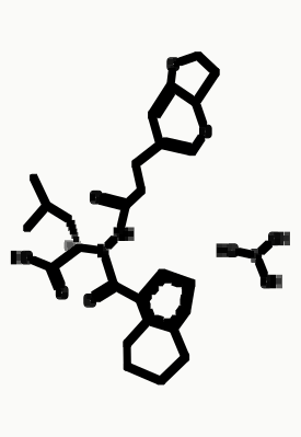 CC(C)C[C@@H](C(=O)O)N(NC(=O)CCC1=COC2CCOC2=C1)C(=O)c1cccc2c1CCCC2.OB(O)O